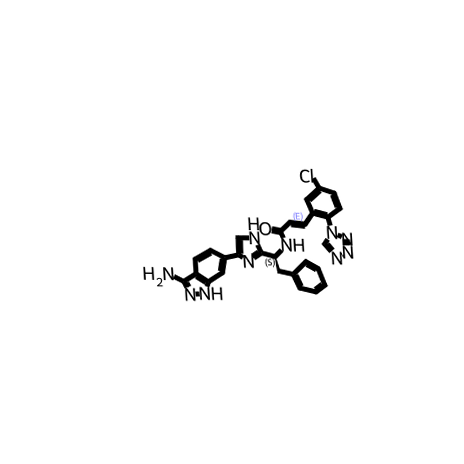 Nc1n[nH]c2cc(-c3c[nH]c([C@H](Cc4ccccc4)NC(=O)/C=C/c4cc(Cl)ccc4-n4cnnn4)n3)ccc12